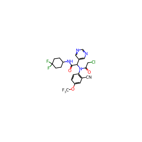 N#Cc1cc(OC(F)(F)F)ccc1N(C(=O)CCl)C(C(=O)NC1CCC(F)(F)CC1)c1cncnc1